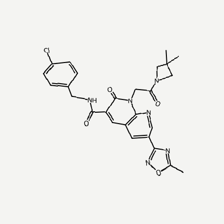 Cc1nc(-c2cnc3c(c2)cc(C(=O)NCc2ccc(Cl)cc2)c(=O)n3CC(=O)N2CC(C)(C)C2)no1